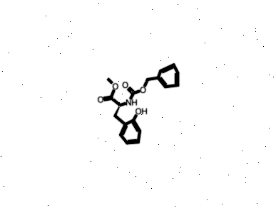 COC(=O)[C@H](Cc1ccccc1O)NC(=O)OCc1ccccc1